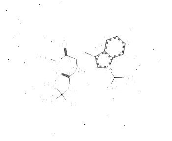 COC(=O)[C@H](Cc1cn(C(C)C)c2ccccc12)NC(=O)OC(C)(C)C